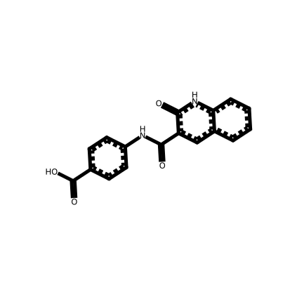 O=C(O)c1ccc(NC(=O)c2cc3ccccc3[nH]c2=O)cc1